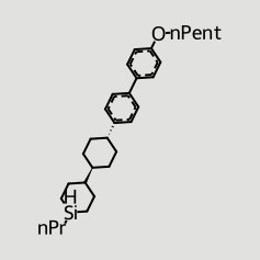 CCCCCOc1ccc(-c2ccc([C@H]3CC[C@H](C4CC[SiH](CCC)CC4)CC3)cc2)cc1